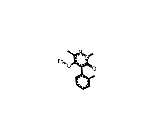 CCOc1c(C)nn(C)c(=O)c1-c1ccccc1C